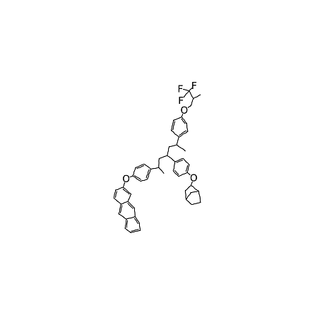 CC(CC(CC(C)c1ccc(Oc2ccc3cc4ccccc4cc3c2)cc1)c1ccc(OC2CC3CCC2C3)cc1)c1ccc(OCC(C)C(F)(F)F)cc1